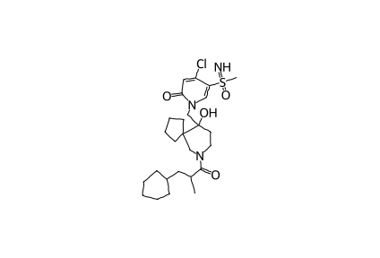 CC(CC1CCCCC1)C(=O)N1CCC(O)(Cn2cc(S(C)(=N)=O)c(Cl)cc2=O)C2(CCCC2)C1